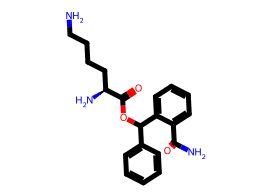 NCCCC[C@H](N)C(=O)OC(c1ccccc1)c1ccccc1C(N)=O